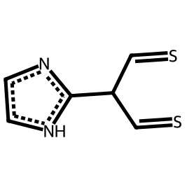 S=CC(C=S)c1ncc[nH]1